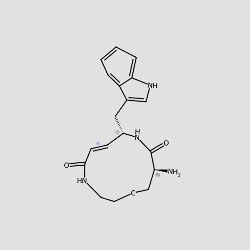 N[C@H]1CCCCNC(=O)/C=C/[C@H](Cc2c[nH]c3ccccc23)NC1=O